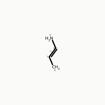 C/C=[C]/N